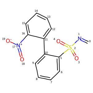 C=NS(=O)(=O)c1ccccc1-c1ccccc1[N+](=O)[O-]